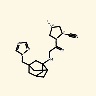 N#C[C@@H]1C[C@@H](F)CN1C(=O)CNC12CC3CC1CC(Cn1cncn1)(C3)C2